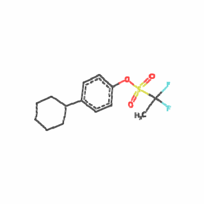 CC(F)(F)S(=O)(=O)Oc1ccc(C2CCCCC2)cc1